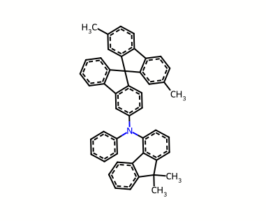 Cc1ccc2c(c1)C1(c3ccccc3-c3cc(N(c4ccccc4)c4cccc5c4-c4ccccc4C5(C)C)ccc31)c1cc(C)ccc1-2